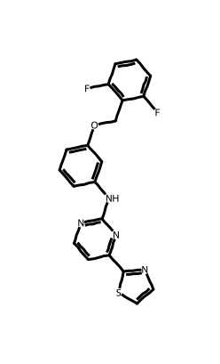 Fc1cccc(F)c1COc1cccc(Nc2nccc(-c3nccs3)n2)c1